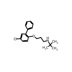 CC(C)(C)NCCCOc1ccc(Cl)cc1-c1ccccc1